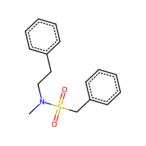 CN(CCc1ccccc1)S(=O)(=O)Cc1ccccc1